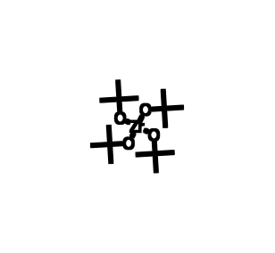 CC(C)(C)[O][Zr]([O]C(C)(C)C)([O]C(C)(C)C)[O]C(C)(C)C